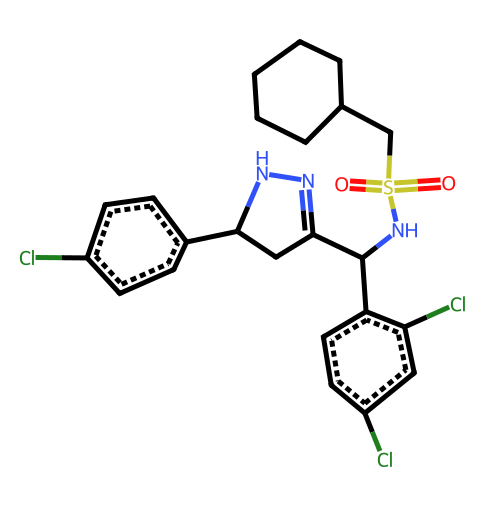 O=S(=O)(CC1CCCCC1)NC(C1=NNC(c2ccc(Cl)cc2)C1)c1ccc(Cl)cc1Cl